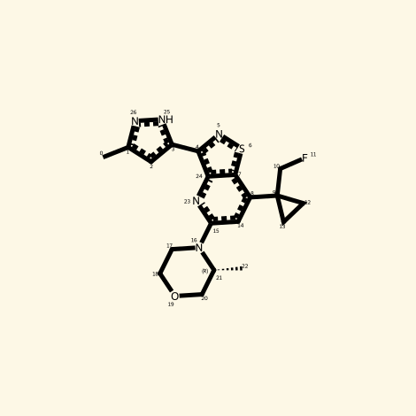 Cc1cc(-c2nsc3c(C4(CF)CC4)cc(N4CCOC[C@H]4C)nc23)[nH]n1